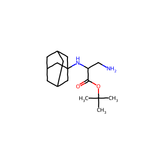 CC(C)(C)OC(=O)C(CN)NC12CC3CC(CC(C3)C1)C2